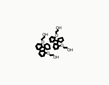 OCCOc1ccccc1C1(c2ccccc2OCCO)CCCC1.OCCOc1ccccc1C1(c2ccccc2OCCO)CCCCC1